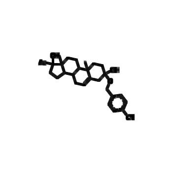 CC(=O)C1(O)CCC2C3CC=C4CC(O)(OCc5ccc(C#N)cc5)CCC4(C)C3CCC21C